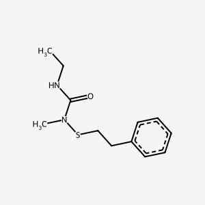 CCNC(=O)N(C)SCCc1ccccc1